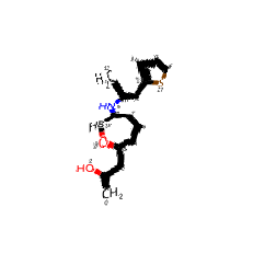 C=C(O)CC1CCCC(NC(=C)Cc2cccs2)BO1